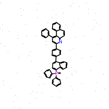 C=P(c1ccccc1)(c1ccccc1)c1ccc(-c2ccc(-c3cc(-c4ccccc4)c4c(ccc5ccccc54)n3)cc2)c2ccccc12